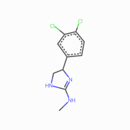 CNC1=NC(c2ccc(Cl)c(Cl)c2)CN1